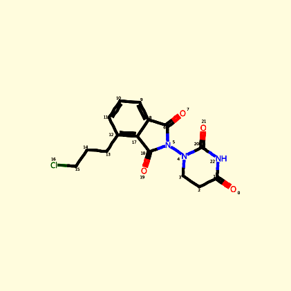 O=C1CCN(N2C(=O)c3cccc(CCCCl)c3C2=O)C(=O)N1